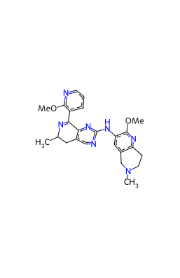 COc1nc2c(cc1Nc1ncc3c(n1)C(c1cccnc1OC)=NC(C)C3)CN(C)CC2